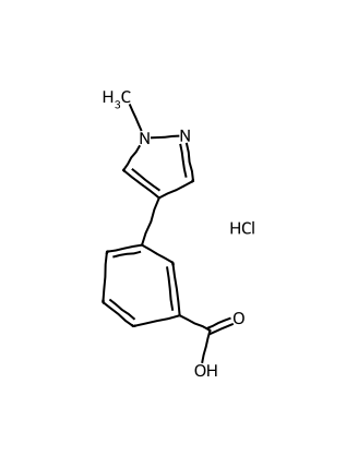 Cl.Cn1cc(-c2cccc(C(=O)O)c2)cn1